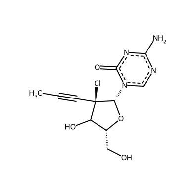 CC#C[C@@]1(Cl)C(O)[C@@H](CO)O[C@H]1n1cnc(N)nc1=O